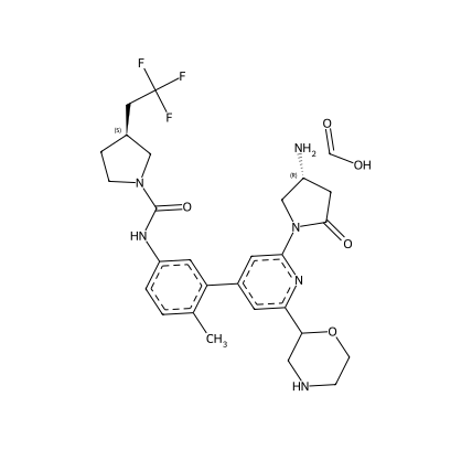 Cc1ccc(NC(=O)N2CC[C@@H](CC(F)(F)F)C2)cc1-c1cc(C2CNCCO2)nc(N2C[C@H](N)CC2=O)c1.O=CO